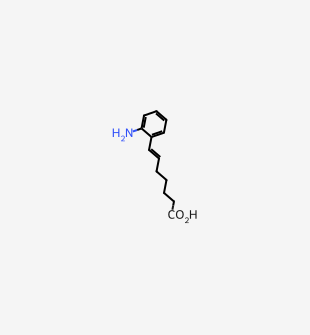 Nc1ccccc1C=CCCCCC(=O)O